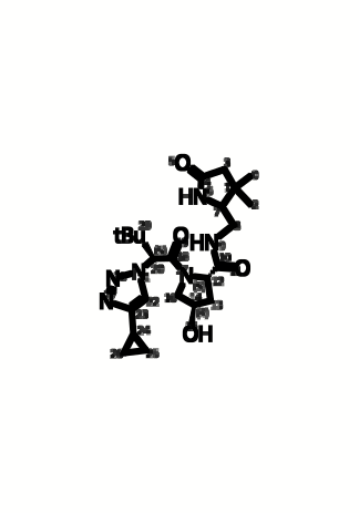 CC1(C)CC(=O)NC1CNC(=O)[C@@H]1C[C@@H](O)CN1C(=O)[C@@H](n1cc(C2CC2)nn1)C(C)(C)C